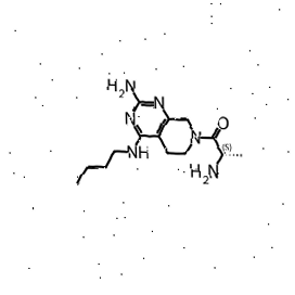 CCCCNc1nc(N)nc2c1CCN(C(=O)[C@H](C)N)C2